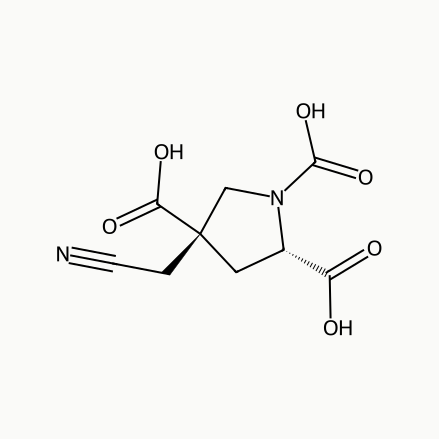 N#CC[C@]1(C(=O)O)C[C@@H](C(=O)O)N(C(=O)O)C1